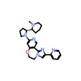 CN1CCCCC1[C@@H]1CCCN1c1cc2c(cn1)-c1nc(-c3ccccn3)cn1CCO2